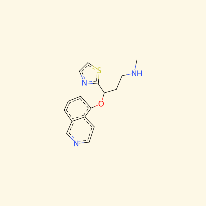 CNCCC(Oc1cccc2cnccc12)c1nccs1